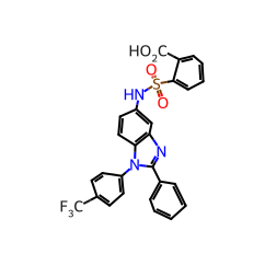 O=C(O)c1ccccc1S(=O)(=O)Nc1ccc2c(c1)nc(-c1ccccc1)n2-c1ccc(C(F)(F)F)cc1